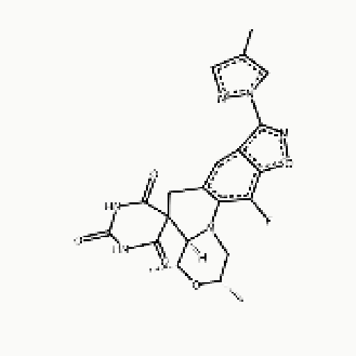 Cc1cnn(-c2noc3c(F)c4c(cc23)CC2(C(=O)NC(=O)NC2=O)[C@@H]2[C@@H](C)O[C@@H](C)CN42)c1